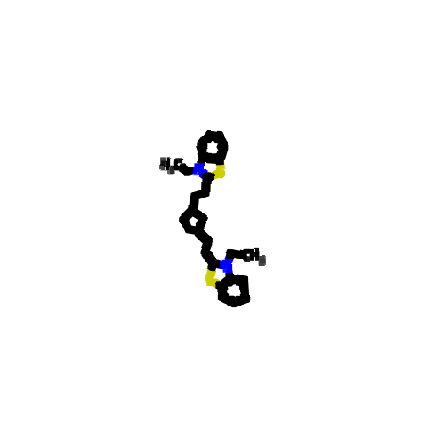 CCN1C(=CC=C2CCC(=CC=C3Sc4ccccc4N3CC)C2)Sc2ccccc21